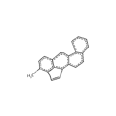 Cc1ccc2cc3c(ccc4ccccc43)c3c2c1C=C3